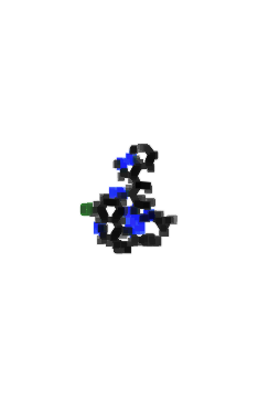 C=C(c1cnn(C)c1/C=C\C)[C@H](Nc1cc(Cl)c2ncc(C#N)c(NCC(C)(C)C)c2c1)C1=CN(C2CC2)NN1